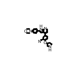 N#CC1CC(c2ccnc3[nH]c(-c4ccc(N5CCOCC5)cc4)cc23)=CC=C1O[C@H]1CCNC1